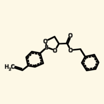 C=Cc1ccc(B2OCC(C(=O)OCc3ccccc3)O2)cc1